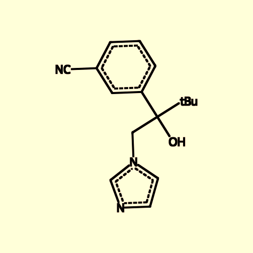 CC(C)(C)C(O)(Cn1ccnc1)c1cccc(C#N)c1